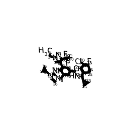 CCn1cc(-c2cc(Cn3ccn(C4CC4)c3=N)cc(C(=O)N[C@H](c3ccc(F)c(Cl)c3)C3CC3)c2)c(C(F)(F)F)n1